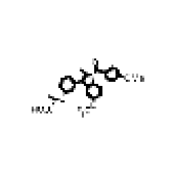 COc1ccc(C(=O)n2c(C)c(-c3cccc(O[C@@H](C)C(=O)O)c3)c3cc(OC(F)(F)F)ccc32)cc1